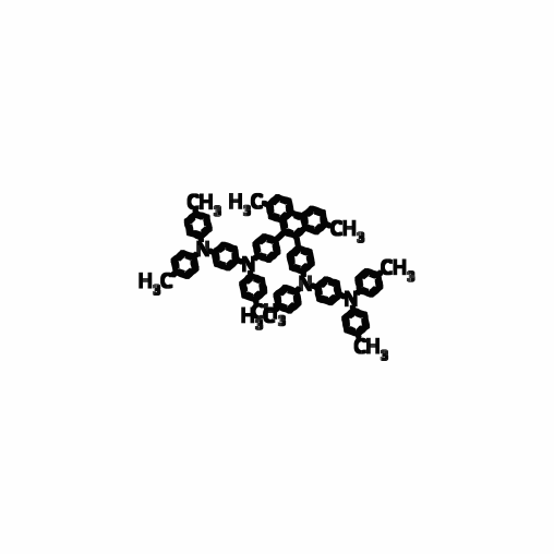 Cc1ccc(N(c2ccc(C)cc2)c2ccc(N(c3ccc(C)cc3)c3ccc(-c4c(-c5ccc(N(c6ccc(C)cc6)c6ccc(N(c7ccc(C)cc7)c7ccc(C)cc7)cc6)cc5)c5cc(C)ccc5c5ccc(C)cc45)cc3)cc2)cc1